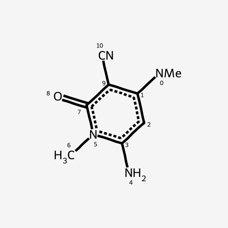 CNc1cc(N)n(C)c(=O)c1C#N